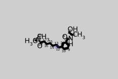 CC(CO)NC(=O)c1cccc(/C=C/CCCCC(=O)N(C)C)c1